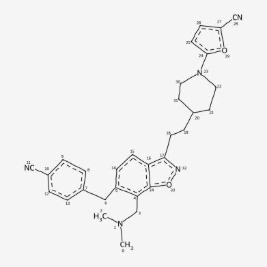 CN(C)Cc1c(Cc2ccc(C#N)cc2)ccc2c(CCC3CCN(c4ccc(C#N)o4)CC3)noc12